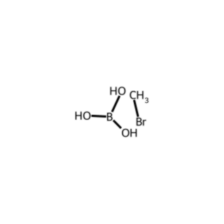 CBr.OB(O)O